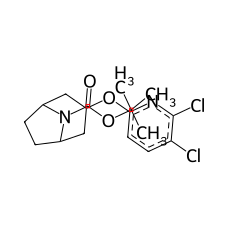 CC(C)(C)OC(=O)N1C2CCC1CC(Oc1ccc(Cl)c(Cl)n1)C2